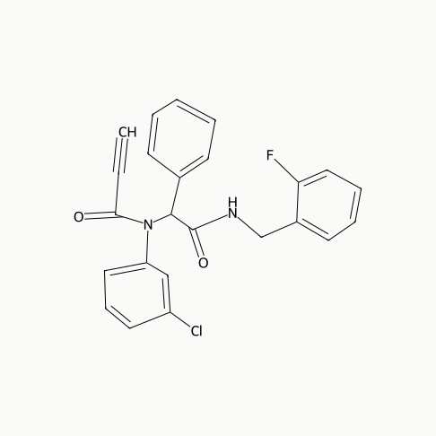 C#CC(=O)N(c1cccc(Cl)c1)C(C(=O)NCc1ccccc1F)c1ccccc1